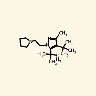 Cc1nn(CCN2CCCC2)c(C(C)(C)C)c1C(C)(C)C